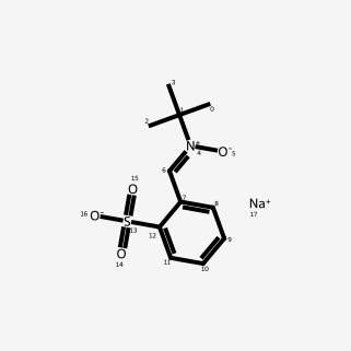 CC(C)(C)[N+]([O-])=Cc1ccccc1S(=O)(=O)[O-].[Na+]